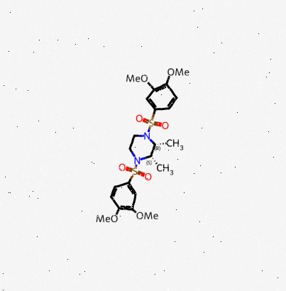 COc1ccc(S(=O)(=O)N2CCN(S(=O)(=O)c3ccc(OC)c(OC)c3)[C@@H](C)[C@H]2C)cc1OC